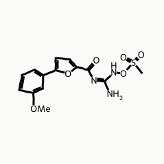 COc1cccc(-c2ccc(C(=O)N=C(N)NOS(C)(=O)=O)o2)c1